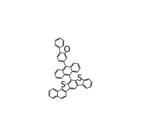 c1ccc2c(c1)ccc1c3cc4c(sc5ccccc54)c(-c4c5ccccc5c(-c5ccc6c(c5)oc5ccccc56)c5ccccc45)c3sc21